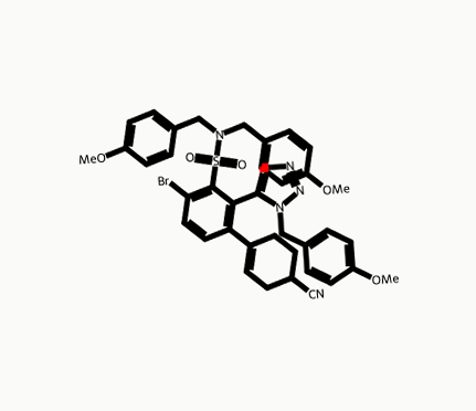 COc1ccc(CN(Cc2ccc(OC)cc2)S(=O)(=O)c2c(Br)ccc(C3=CCC(C#N)CC3)c2-c2nnnn2Cc2ccc(OC)cc2)cc1